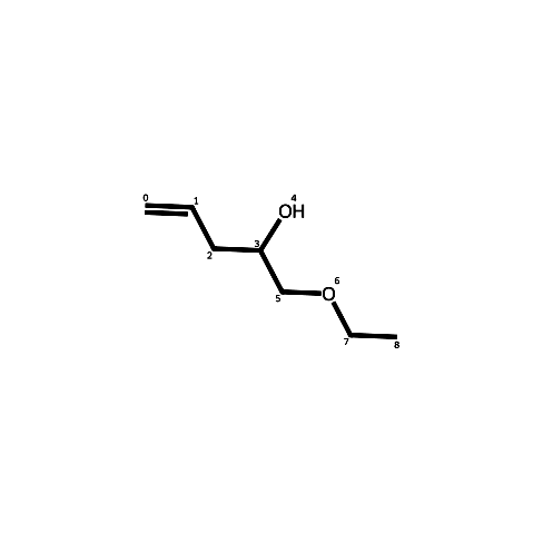 C=CCC(O)COCC